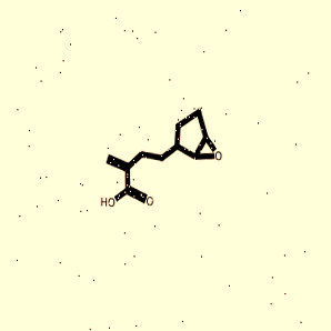 C=C(CCC1CCC2OC12)C(=O)O